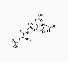 N[C@@H](CCC(=O)O)C(=O)NCC(=O)N[C@@H](CC(=O)O)C(=O)N[C@@H](CC(=O)O)C(=O)O